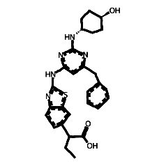 CCC(C(=O)O)c1ccc2nc(Nc3cc(Cc4ccccc4)nc(N[C@H]4CC[C@H](O)CC4)n3)sc2c1